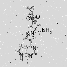 NCC1(n2cc(-c3ncnc4[nH]ccc34)cn2)CN(S(=O)(=O)C2CC2)C1